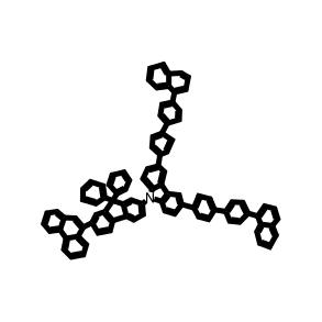 c1ccc(C2(c3ccccc3)c3cc(-c4cc5ccccc5c5ccccc45)ccc3-c3ccc(-n4c5ccc(-c6ccc(-c7ccc(-c8cccc9ccccc89)cc7)cc6)cc5c5cc(-c6ccc(-c7ccc(-c8cccc9ccccc89)cc7)cc6)ccc54)cc32)cc1